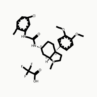 COc1ccc([C@@]23CC[C@@H](NC(=O)Nc4cc(Cl)ccc4C)C[C@@H]2N(C)CC3)cc1OC.O=C(O)C(F)(F)F